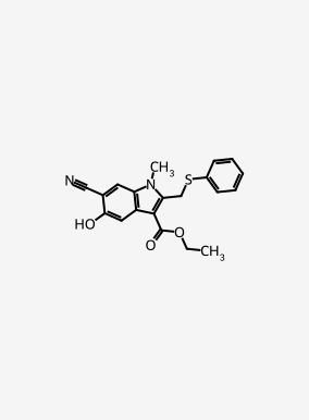 CCOC(=O)c1c(CSc2ccccc2)n(C)c2cc(C#N)c(O)cc12